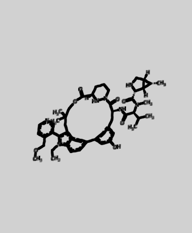 CCn1c(-c2cnccc2COC)c2c3cc(ccc31)-c1cc(O)cc(c1)C[C@H](NC(=O)[C@H](C(C)C)N(C)C(=O)[C@@H]1NC[C@@H]3[C@H](C)[C@@H]31)C(=O)N1CCC[C@H](N1)C(=O)OCC(C)(C)C2